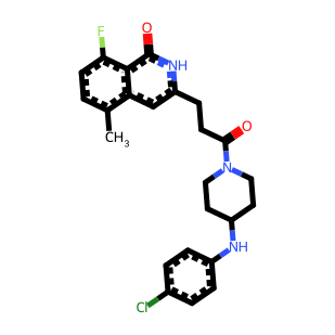 Cc1ccc(F)c2c(=O)[nH]c(CCC(=O)N3CCC(Nc4ccc(Cl)cc4)CC3)cc12